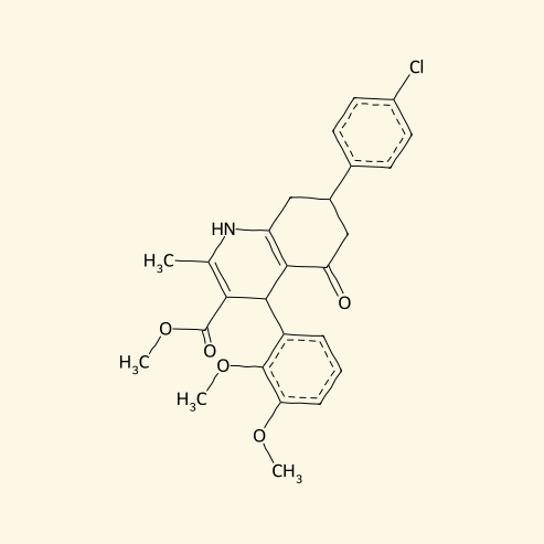 COC(=O)C1=C(C)NC2=C(C(=O)CC(c3ccc(Cl)cc3)C2)C1c1cccc(OC)c1OC